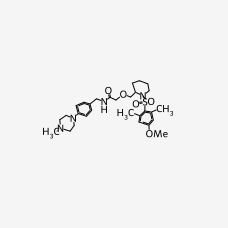 COc1cc(C)c(S(=O)(=O)N2CCCCC2COCC(=O)NCc2ccc(N3CCN(C)CC3)cc2)c(C)c1